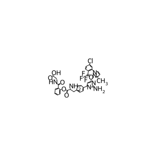 Cc1ccn(-c2cc(Cl)ccc2[C@@H](Oc2cc(-c3ccc(CC(N)C(=O)Oc4ccccc4C(=O)NCC(=O)O)cc3)nc(N)n2)C(F)(F)F)n1